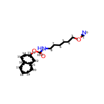 N#COCCCCCCNC(=O)Oc1ccc2ccccc2c1